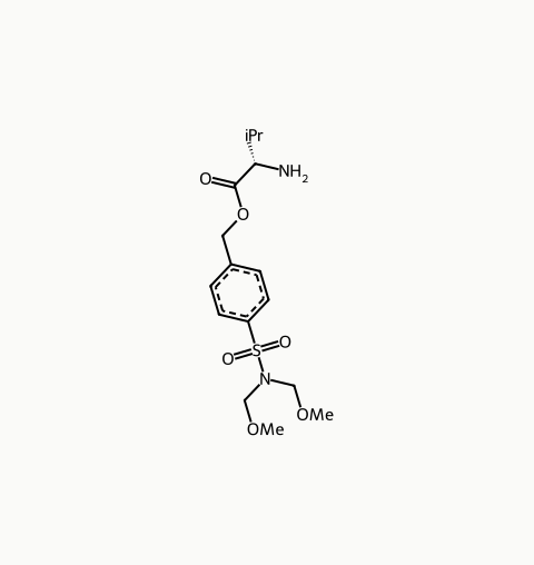 COCN(COC)S(=O)(=O)c1ccc(COC(=O)[C@@H](N)C(C)C)cc1